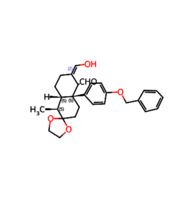 C[C@H]1[C@@H]2CC/C(=C/O)C(C=O)[C@]2(c2ccc(OCc3ccccc3)cc2)CCC12OCCO2